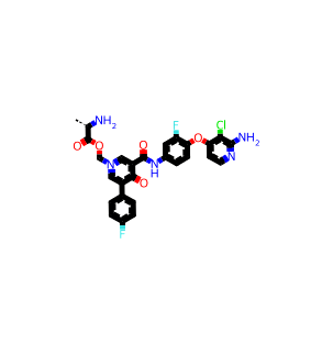 C[C@H](N)C(=O)OCn1cc(C(=O)Nc2ccc(Oc3ccnc(N)c3Cl)c(F)c2)c(=O)c(-c2ccc(F)cc2)c1